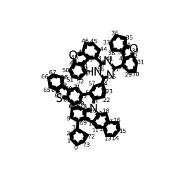 c1ccc(-c2cccc3c2c2cc4ccccc4cc2n3-c2ccc(C3N=C(c4cccc5oc6ccccc6c45)N=C(c4cccc5oc6ccccc6c45)N3)cc2-c2ccc3sc4ccccc4c3c2)cc1